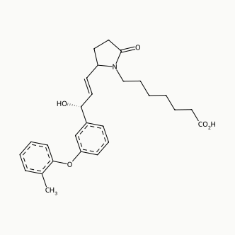 Cc1ccccc1Oc1cccc([C@H](O)/C=C/C2CCC(=O)N2CCCCCCC(=O)O)c1